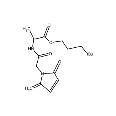 C=C1C=CC(=O)N1CC(=O)NC(C)C(=O)OCCCC(C)(C)C